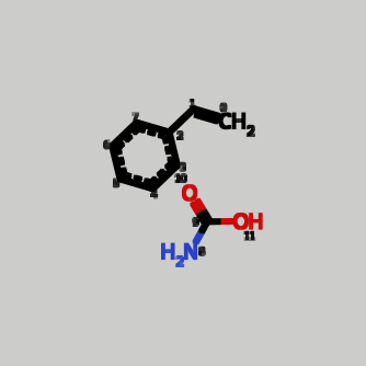 C=Cc1ccccc1.NC(=O)O